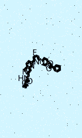 C[C@@H]1CN(c2cc(F)cc(-c3ccc4cnc(CNC(=O)OC(C)(C)C)cc4n3)n2)C[C@H](C)C1OC(=O)c1ccccc1